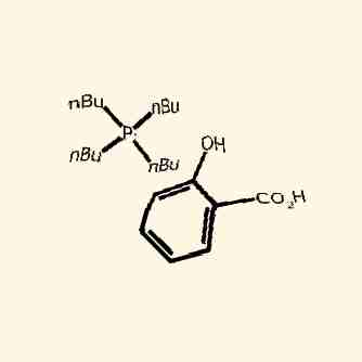 CCCC[P](CCCC)(CCCC)CCCC.O=C(O)c1ccccc1O